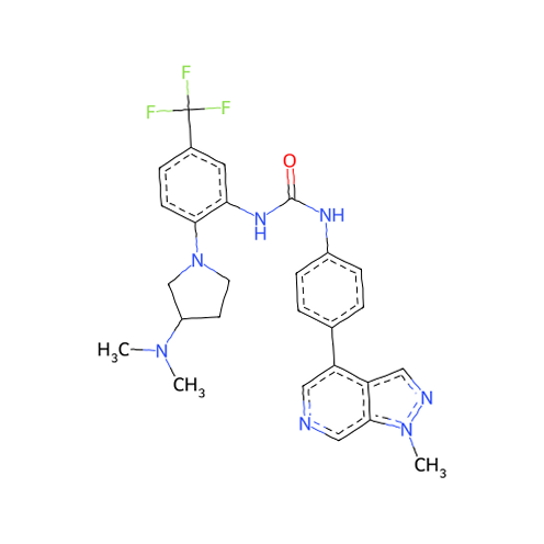 CN(C)C1CCN(c2ccc(C(F)(F)F)cc2NC(=O)Nc2ccc(-c3cncc4c3cnn4C)cc2)C1